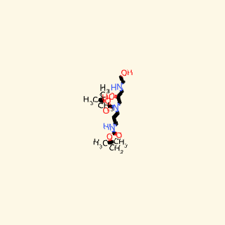 CC(C)(C)OC(=O)NCCCN(CC(O)CNCCO)C(=O)OC(C)(C)C